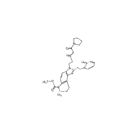 COC(=O)N1c2ccc3c(nc(CCn4ccccc4=O)n3CCNCC(=O)N3CCCC3)c2CC[C@@H]1C